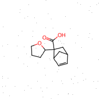 O=C(O)C1(C2CCCO2)CC2C=CC1C2